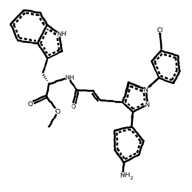 COC(=O)[C@H](Cc1c[nH]c2ccccc12)NC(=O)/C=C/c1cn(-c2cccc(Cl)c2)nc1-c1ccc(N)cc1